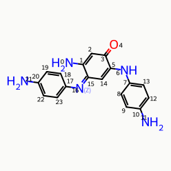 NC1=CC(=O)C(Nc2ccc(N)cc2)=C/C1=N/c1ccc(N)cc1